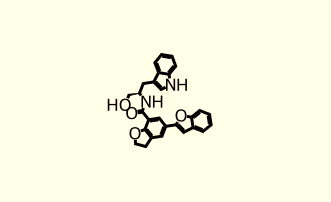 O=C(N[C@@H](CO)Cc1c[nH]c2ccccc12)c1cc(-c2cc3ccccc3o2)cc2c1OCC2